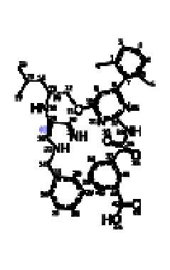 Cc1cccc(C)c1-c1cc(OC[C@@H](CC(C)C)N/C(C=N)=C/NCc2ccccc2)nc(NS(=O)(=O)c2cccc(C(=O)O)c2)n1